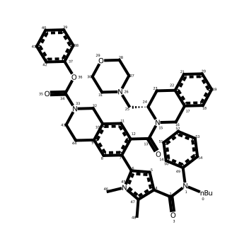 CCCCN(C(=O)c1cc(-c2cc3c(cc2C(=O)N2Cc4ccccc4C[C@H]2CN2CCOCC2)CN(C(=O)Oc2ccccc2)CC3)n(C)c1C)c1ccccc1